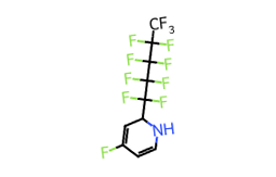 FC1=CC(C(F)(F)C(F)(F)C(F)(F)C(F)(F)C(F)(F)F)NC=C1